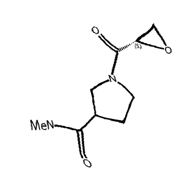 CNC(=O)C1CCN(C(=O)[C@@H]2CO2)C1